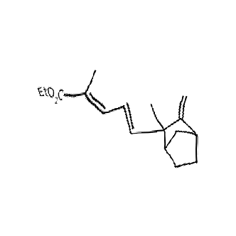 C=C1C2CCC(C2)C1(C)C=CC=C(C)C(=O)OCC